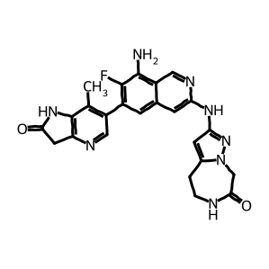 Cc1c(-c2cc3cc(Nc4cc5n(n4)CC(=O)NCC5)ncc3c(N)c2F)cnc2c1NC(=O)C2